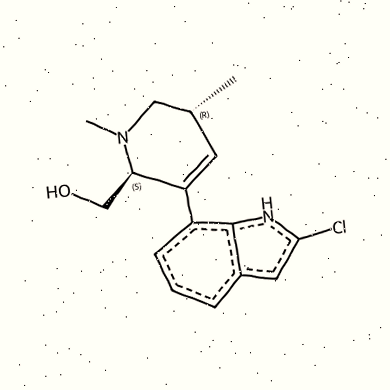 C[C@@H]1C=C(c2cccc3cc(Cl)[nH]c23)[C@@H](CO)N(C)C1